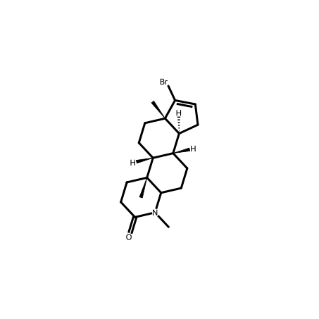 CN1C(=O)CC[C@@]2(C)C1CC[C@@H]1[C@H]2CC[C@]2(C)C(Br)=CC[C@@H]12